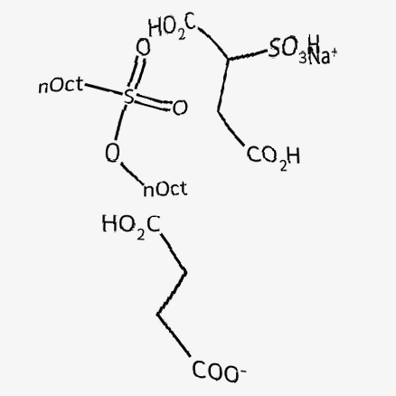 CCCCCCCCOS(=O)(=O)CCCCCCCC.O=C(O)CC(C(=O)O)S(=O)(=O)O.O=C([O-])CCC(=O)O.[Na+]